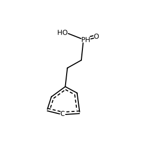 O=[PH](O)CCc1ccccc1